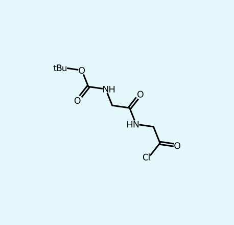 CC(C)(C)OC(=O)NCC(=O)NCC(=O)Cl